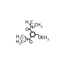 CCN(CC)C(=O)c1cc(COC)cc(C(=O)N(CC)CC)c1